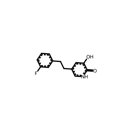 O=c1[nH]cc(CCc2cccc(F)c2)cc1O